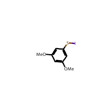 COc1cc(OC)cc(SI)c1